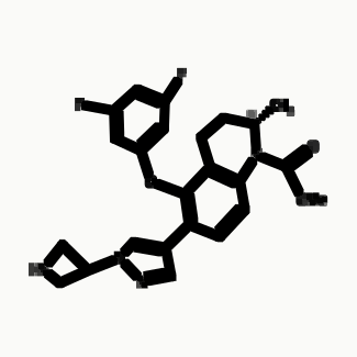 COC(=O)N1c2ccc(-c3cnn(C4CNC4)c3)c(Oc3cc(F)cc(F)c3)c2CC[C@@H]1C